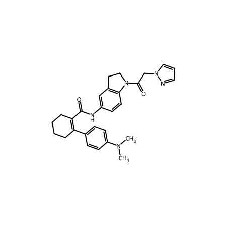 CN(C)c1ccc(C2=C(C(=O)Nc3ccc4c(c3)CCN4C(=O)Cn3cccn3)CCCC2)cc1